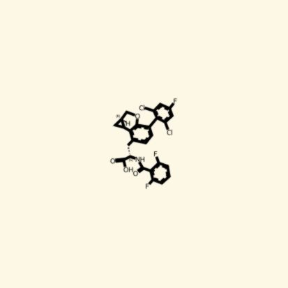 O=C(N[C@@H](Cc1ccc(-c2c(Cl)cc(F)cc2Cl)c2c1C1C[C@H]1CO2)C(=O)O)c1c(F)cccc1F